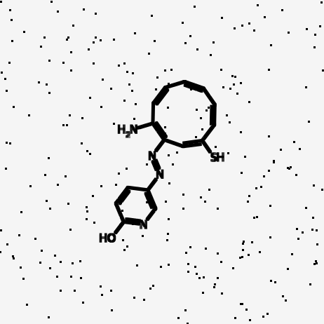 Nc1ccccccc(S)cc1/N=N/c1ccc(O)nc1